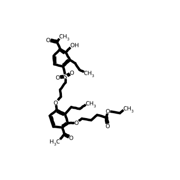 CCCc1c(S(=O)(=O)CCCOc2ccc(C(C)=O)c(OCCCC(=O)OCC)c2CCC)ccc(C(C)=O)c1O